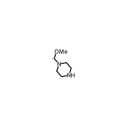 CO[CH]N1CCNCC1